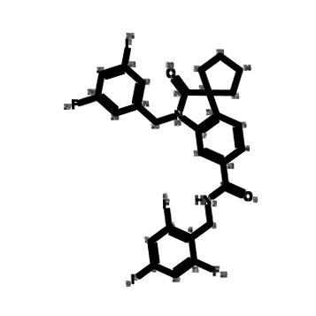 O=C(NCc1c(F)cc(F)cc1F)c1ccc2c(c1)N(Cc1cc(F)cc(F)c1)C(=O)C21CCCC1